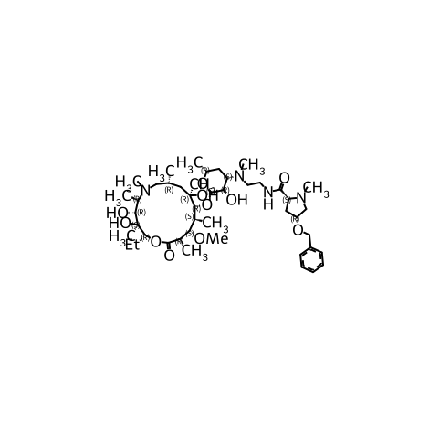 CC[C@H]1OC(=O)[C@H](C)[C@@H](OC)[C@H](C)[C@@H](O[C@@H]2O[C@H](C)C[C@H](N(C)CCNC(=O)[C@@H]3C[C@@H](OCc4ccccc4)CN3C)[C@H]2O)[C@](C)(O)C[C@@H](C)CN(C)[C@H](C)[C@@H](O)[C@]1(C)O